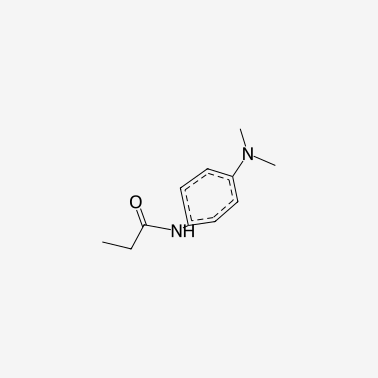 CCC(=O)Nc1ccc(N(C)C)cc1